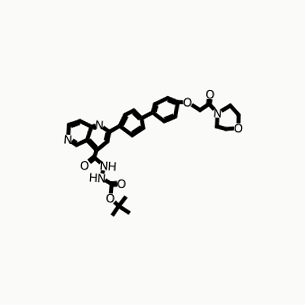 CC(C)(C)OC(=O)NNC(=O)c1cc(-c2ccc(-c3ccc(OCC(=O)N4CCOCC4)cc3)cc2)nc2ccncc12